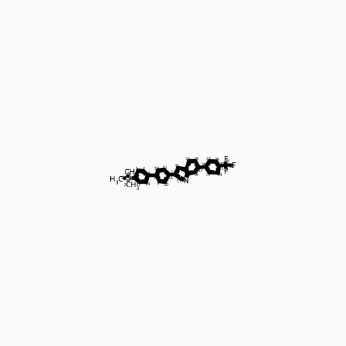 C[Si](C)(C)c1ccc(-c2ccc(-c3cnc4cc(-c5ccc(C(F)(F)F)cc5)ccc4c3)cc2)cc1